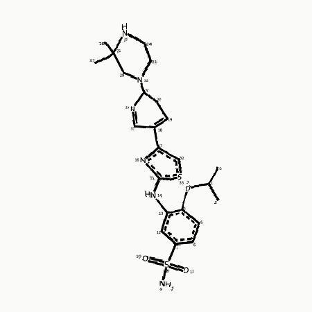 CC(C)Oc1ccc(S(N)(=O)=O)cc1Nc1nc(C2=CCC(N3CCNC(C)(C)C3)N=C2)cs1